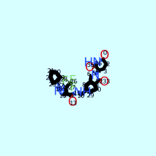 O=C1CCC(N2Cc3cc(CNC(=O)c4cnn(-c5ccccc5)c4C(F)(F)F)ccc3C2=O)C(=O)N1